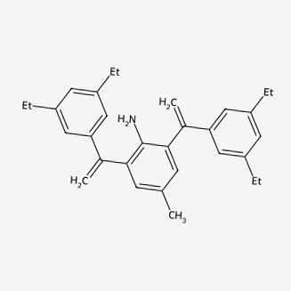 C=C(c1cc(CC)cc(CC)c1)c1cc(C)cc(C(=C)c2cc(CC)cc(CC)c2)c1N